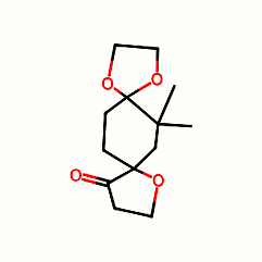 CC1(C)CC2(CCC13OCCO3)OCCC2=O